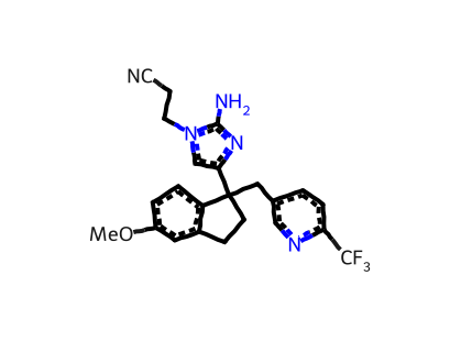 COc1ccc2c(c1)CCC2(Cc1ccc(C(F)(F)F)nc1)c1cn(CCC#N)c(N)n1